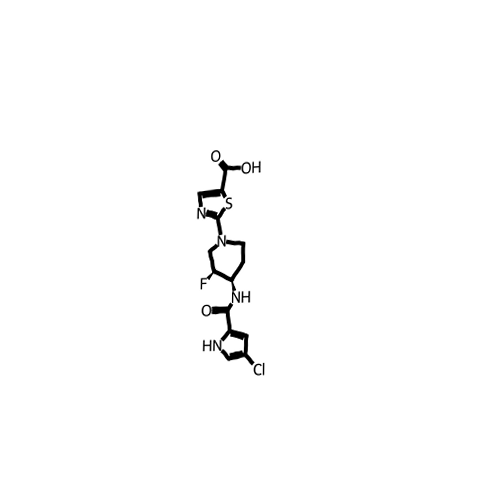 O=C(N[C@@H]1CCN(c2ncc(C(=O)O)s2)C[C@@H]1F)c1cc(Cl)c[nH]1